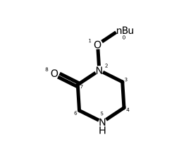 CCCCON1CCNCC1=O